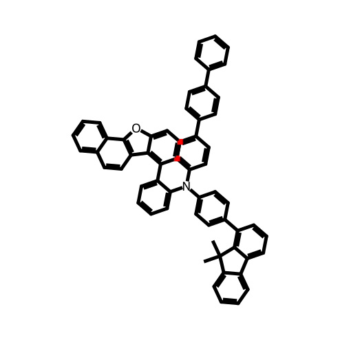 CC1(C)c2ccccc2-c2cccc(-c3ccc(N(c4ccc(-c5ccc(-c6ccccc6)cc5)cc4)c4ccccc4-c4cccc5oc6c7ccccc7ccc6c45)cc3)c21